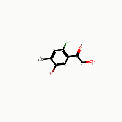 O=C(CO)c1cc(Br)c(C(F)(F)F)cc1Cl